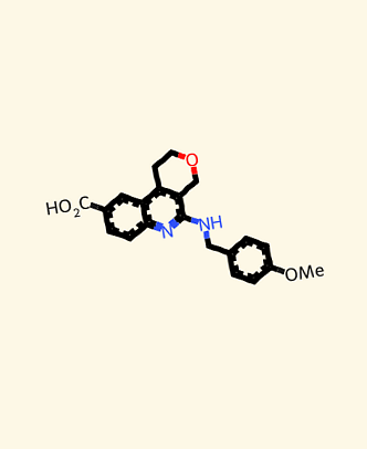 COc1ccc(CNc2nc3ccc(C(=O)O)cc3c3c2COCC3)cc1